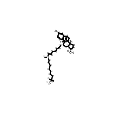 C=CC12CCc3cc(O)ccc3[C@H]1[C@@H](CCCCCCCN(C)CCCCCCCC(F)(F)C(F)(F)F)C[C@]1(C)[C@@H](O)CC[C@@H]21